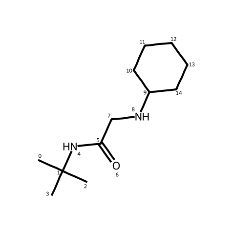 CC(C)(C)NC(=O)CNC1CCCCC1